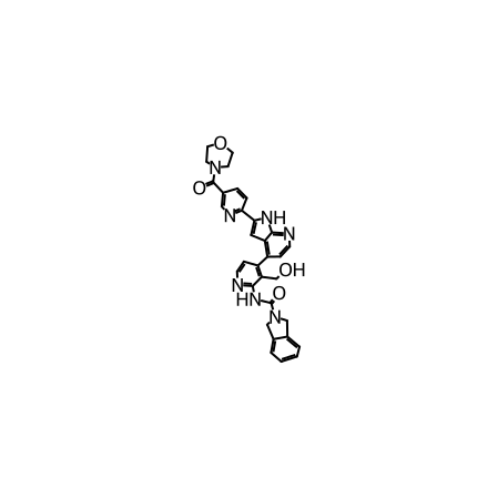 O=C(Nc1nccc(-c2ccnc3[nH]c(-c4ccc(C(=O)N5CCOCC5)cn4)cc23)c1CO)N1Cc2ccccc2C1